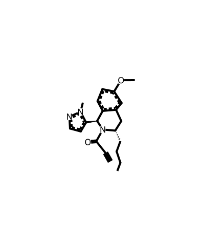 C#CC(=O)N1[C@@H](CCCC)Cc2cc(OC)ccc2[C@@H]1c1ccnn1C